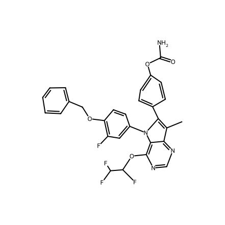 Cc1c(-c2ccc(OC(N)=O)cc2)n(-c2ccc(OCc3ccccc3)c(F)c2)c2c(OC(F)C(F)F)ncnc12